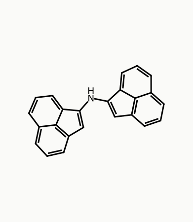 C1=C(NC2=Cc3cccc4cccc2c34)c2cccc3cccc1c23